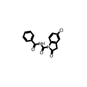 O=C(NC(=O)N1C(=O)Cc2cc(Cl)ccc21)c1ccccc1